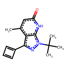 Cc1cc(=O)[nH]c2c1c(C1=CC=C1)nn2C(C)(C)C